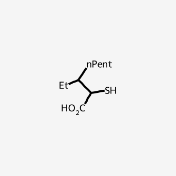 CCCCCC(CC)C(S)C(=O)O